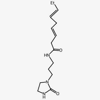 CCC=CCC=CCC(=O)NCCCN1CCNC1=O